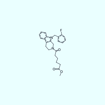 COC(=O)CCCCC(=O)N1CCc2c(n(Cc3ccccc3F)c3ccccc23)C1